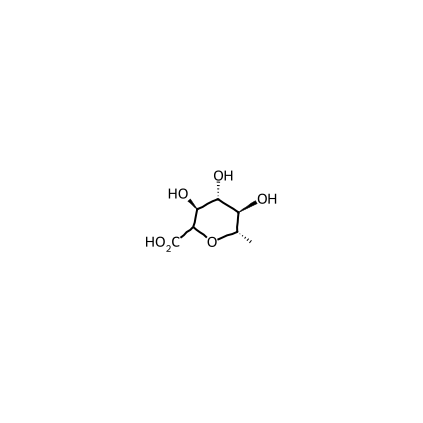 C[C@@H]1OC(C(=O)O)[C@@H](O)[C@H](O)[C@H]1O